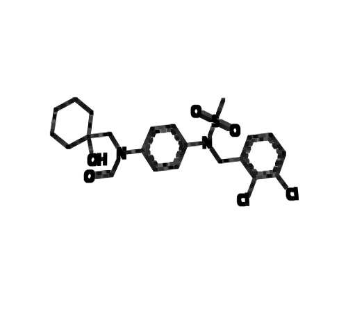 CS(=O)(=O)N(Cc1cccc(Cl)c1Cl)c1ccc(N(C=O)CC2(O)CCCCC2)cc1